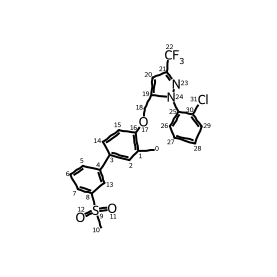 Cc1cc(-c2cccc(S(C)(=O)=O)c2)ccc1OCc1cc(C(F)(F)F)nn1-c1ccccc1Cl